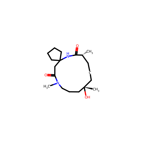 C[C@@H]1CCC[C@](C)(O)CCCN(C)C(=O)CC2(CCCC2)NC1=O